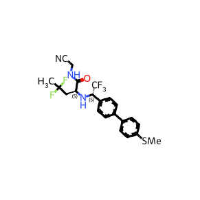 CSc1ccc(-c2ccc([C@H](N[C@@H](CC(C)(F)F)C(=O)NCC#N)C(F)(F)F)cc2)cc1